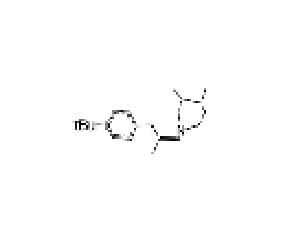 CC(=CN1CCC(C)C(C)C1)Cc1ccc(C(C)(C)C)cc1